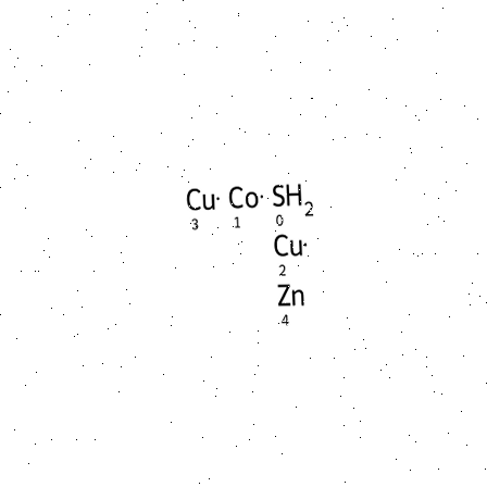 S.[Co].[Cu].[Cu].[Zn]